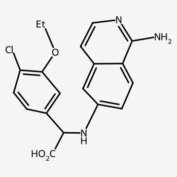 CCOc1cc(C(Nc2ccc3c(N)nccc3c2)C(=O)O)ccc1Cl